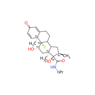 CCCNC(=O)[C@@]1(O)[C@H](C)CC2C3CCC4=CC(=O)C=C[C@]4(C)[C@@]3(F)[C@@H](O)C[C@@]21C